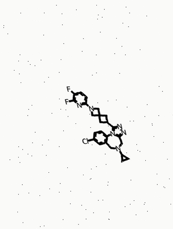 Fc1ccc(N2CC3(CC(c4nnc5n4-c4ccc(Cl)cc4CN(C4CC4)C5)C3)C2)nc1F